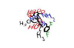 C[C@@H]1CC[C@@]2(ON(Cc3ccc(F)cc3F)[C@@H](C)[C@H]2O)[C@H]2CN1C(=O)c1c(O)c(=O)c(C(N)=O)cn12